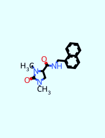 CN1CC(C(=O)NCc2cccc3ccccc23)N(C)C1=O